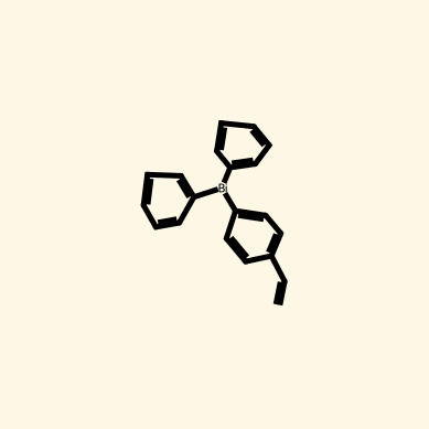 C=Cc1cc[c]([Bi]([c]2ccccc2)[c]2ccccc2)cc1